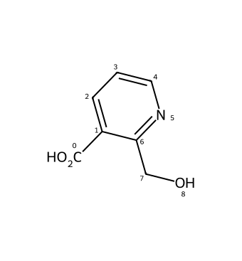 O=C(O)c1cccnc1CO